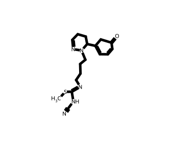 CSC(=NCCCCN1N=CCCC1C1=CC=CC(=O)C1)NC#N